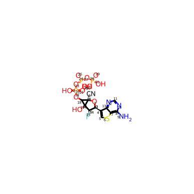 N#C[C@]12O[C@@H](c3csc4c(N)ncnc34)[C@H](F)[C@@]1(O)C2OP(=O)(O)OP(=O)(O)OP(=O)(O)O